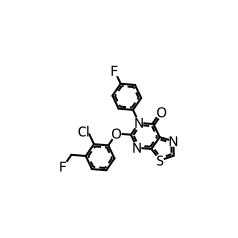 O=c1c2ncsc2nc(Oc2cccc(CF)c2Cl)n1-c1ccc(F)cc1